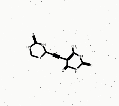 Cc1[nH]c(=O)[nH]c(=O)c1C#CC1NC(=O)NCO1